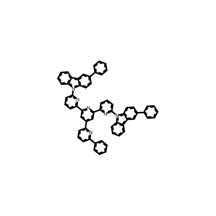 c1ccc(-c2ccc3c(c2)c2ccccc2n3-c2cccc(-c3cc(-c4cccc(-c5ccccc5)n4)cc(-c4cccc(-n5c6ccccc6c6cc(-c7ccccc7)ccc65)n4)n3)n2)cc1